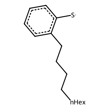 CCCCCCCCCCc1ccccc1[S]